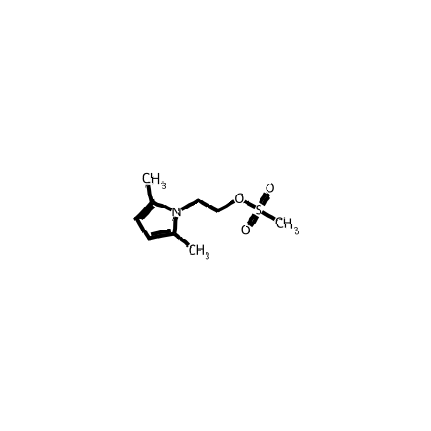 Cc1ccc(C)n1CCOS(C)(=O)=O